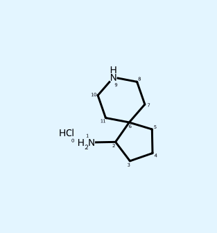 Cl.NC1CCCC12CCNCC2